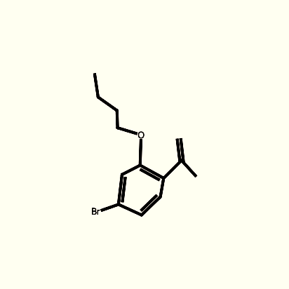 C=C(C)c1ccc(Br)cc1OCCCC